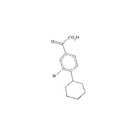 O=C(O)C(=O)c1ccc(C2CCCCC2)c(Br)c1